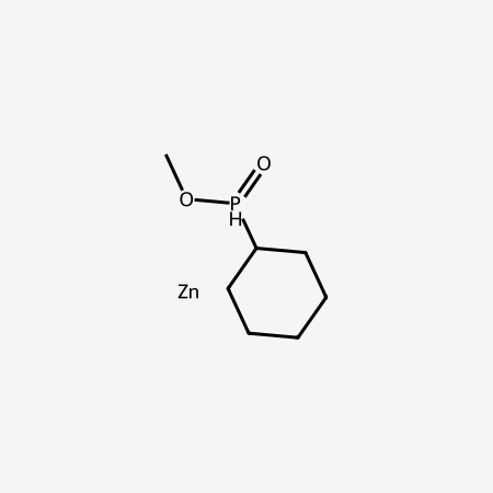 CO[PH](=O)C1CCCCC1.[Zn]